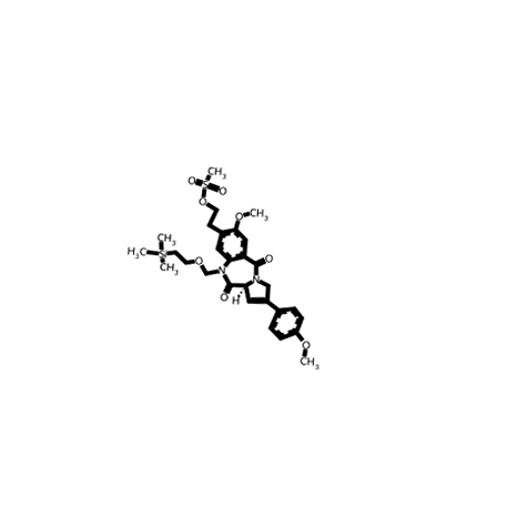 COc1ccc(C2=C[C@H]3C(=O)N(COCC[Si](C)(C)C)c4cc(CCOS(C)(=O)=O)c(OC)cc4C(=O)N3C2)cc1